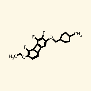 CCOC1=C(F)C2c3c(cc(OCC4CCC(C)CC4)c(F)c3F)C2C=C1